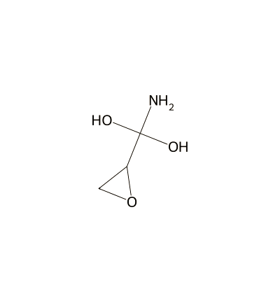 NC(O)(O)C1CO1